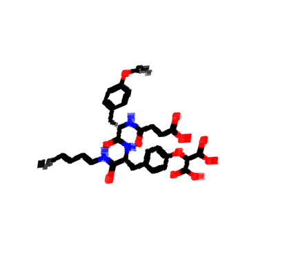 CCCCCNC(=O)[C@H](Cc1ccc(OC(C(=O)O)C(=O)O)cc1)NC(=O)[C@H](Cc1ccc(OC)cc1)NC(=O)CCC(=O)O